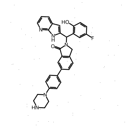 O=C1c2cc(-c3ccc(N4CCNCC4)cc3)ccc2CN1C(c1cc2cccnc2[nH]1)c1cc(F)ccc1O